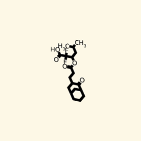 CC(C)CC(OC(=O)CCC1CC2CCCC(C2)C1=O)C(F)(F)C(=O)O